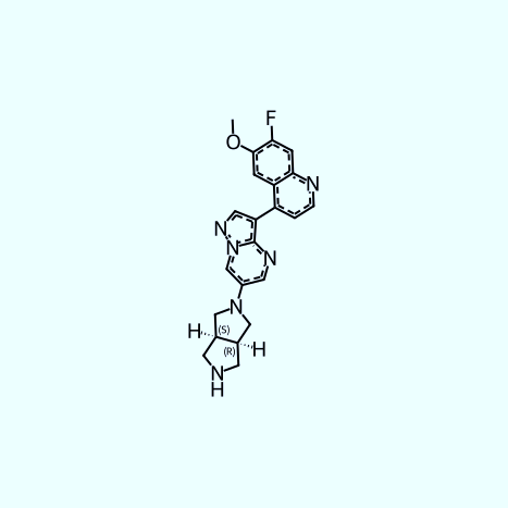 COc1cc2c(-c3cnn4cc(N5C[C@H]6CNC[C@H]6C5)cnc34)ccnc2cc1F